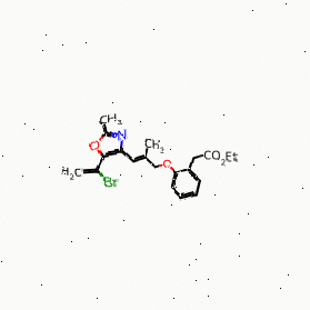 C=C(Br)c1oc(C)nc1/C=C(\C)COc1ccccc1CC(=O)OCC